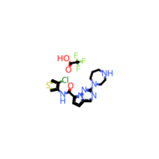 O=C(Nc1cscc1Cl)c1ccc2cnc(N3CCCNCC3)nn12.O=C(O)C(F)(F)F